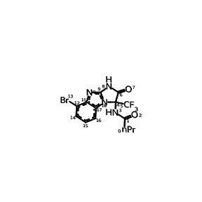 CCCC(=O)NC1(C(F)(F)F)C(=O)Nc2nc3c(Br)cccc3n21